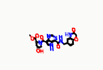 COC(=O)[C@@H]1C[C@@H](O)CN1C(=O)c1c[nH]c2c(C(=O)NCc3ccc4c(c3)NC(=O)CO4)ncnc12